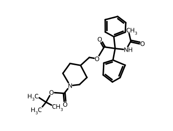 CC(=O)NC(C(=O)OCC1CCN(C(=O)OC(C)(C)C)CC1)(c1ccccc1)c1ccccc1